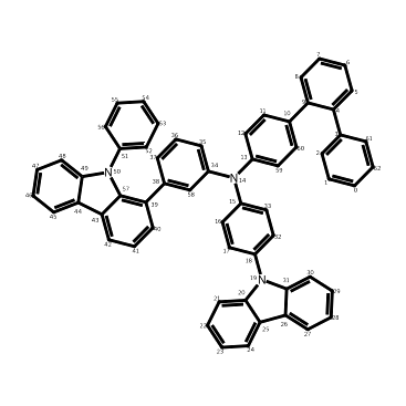 c1ccc(-c2ccccc2-c2ccc(N(c3ccc(-n4c5ccccc5c5ccccc54)cc3)c3cccc(-c4cccc5c6ccccc6n(-c6ccccc6)c45)c3)cc2)cc1